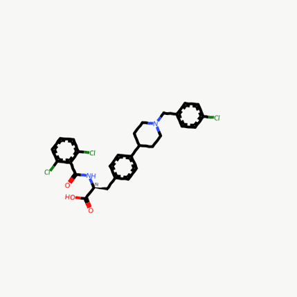 O=C(N[C@@H](Cc1ccc(C2CCN(Cc3ccc(Cl)cc3)CC2)cc1)C(=O)O)c1c(Cl)cccc1Cl